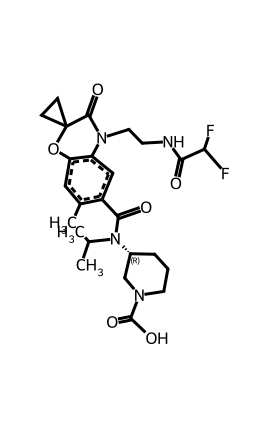 Cc1cc2c(cc1C(=O)N(C(C)C)[C@@H]1CCCN(C(=O)O)C1)N(CCNC(=O)C(F)F)C(=O)C1(CC1)O2